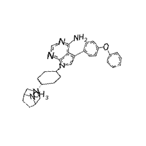 CN1C2CCC1CN([C@H]1CC[C@H](n3cc(-c4ccc(Oc5ccccc5)cc4)c4c(N)ncnc43)CC1)C2